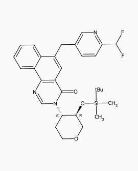 CC(C)(C)[Si](C)(C)O[C@H]1COCC[C@@H]1n1cnc2c(cc(Cc3ccc(C(F)F)nc3)c3ccccc32)c1=O